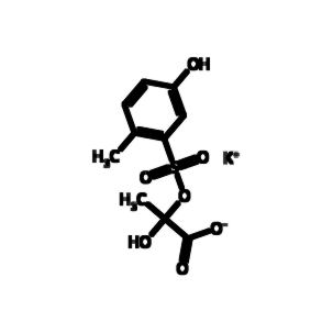 Cc1ccc(O)cc1S(=O)(=O)OC(C)(O)C(=O)[O-].[K+]